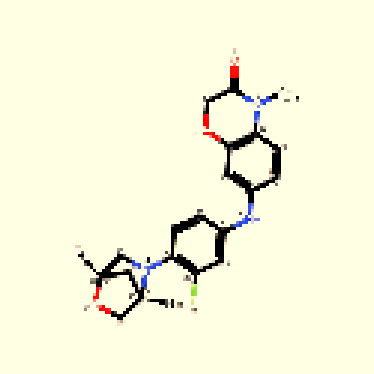 CN1C(=O)COc2cc(Nc3ccc(N4C[C@@H]5C[C@H]4CO5)c(F)c3)ccc21